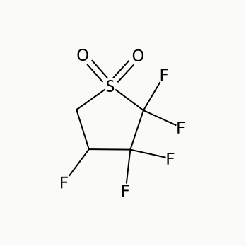 O=S1(=O)CC(F)C(F)(F)C1(F)F